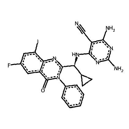 N#Cc1c(N)nc(N)nc1N[C@H](c1nc2c(I)cc(F)cc2c(=O)n1-c1ccccc1)C1CC1